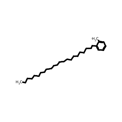 [CH2]c1ccccc1CCCCCCCCCCCCCCCCCCCCCCC